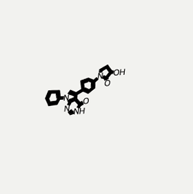 O=C1C(O)CCN1c1ccc(-c2cn(-c3ccccc3)c3nc[nH]c(=O)c23)cc1